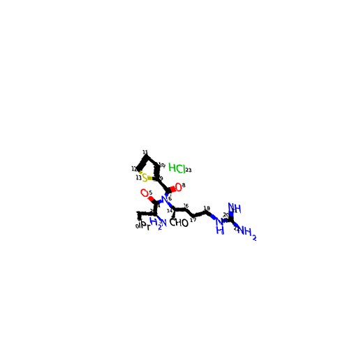 CC(C)C[C@H](N)C(=O)N(C(=O)c1cccs1)[C@H](C=O)CCCNC(=N)N.Cl